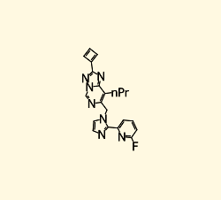 CCCc1c(Cn2ccnc2-c2cccc(F)n2)ncn2nc(C3=CC=C3)nc12